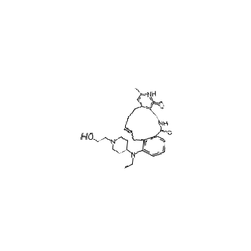 CCN(c1cccc2c1C/C=C/CCc1cc(C)[nH]c(=O)c1CNC2=O)C1CCN(CCO)CC1